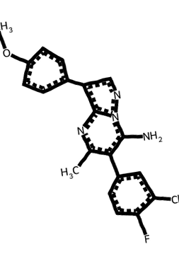 COc1ccc(-c2cnn3c(N)c(-c4ccc(F)c(Cl)c4)c(C)nc23)cc1